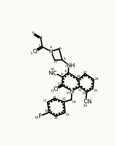 C=CC(=O)N1CC(Nc2c(C#N)c(=O)n(Cc3ccc(F)cc3)c3c(C#N)cccc23)C1